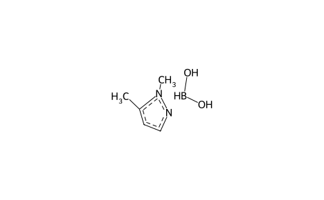 Cc1ccnn1C.OBO